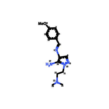 COc1ccc(C=Nc2cnn(CCN(C)C)c2N)cc1